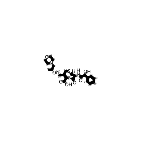 CC(CN1CCOCC1)ON=CC1=C(C(=O)O)N2C(=O)[C@@H](NC(=O)C(O)c3ccccc3)[C@@H]2SC1